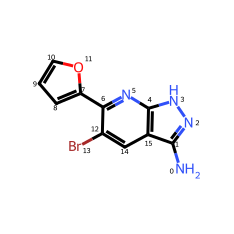 Nc1n[nH]c2nc(-c3ccco3)c(Br)cc12